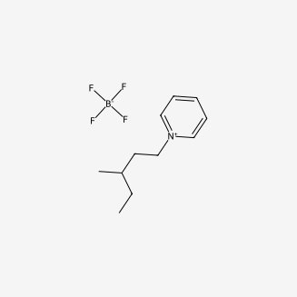 CCC(C)CC[n+]1ccccc1.F[B-](F)(F)F